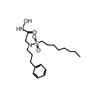 CCCCCCCCS(=O)(=O)N(CCCc1ccccc1)CC(=O)NO